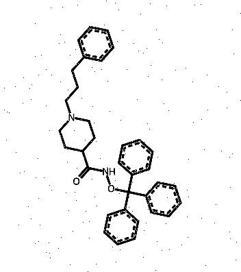 O=C(NOC(c1ccccc1)(c1ccccc1)c1ccccc1)C1CCN(CCCc2ccccc2)CC1